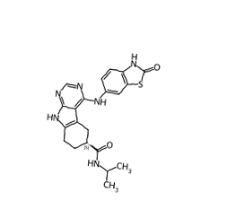 CC(C)NC(=O)[C@H]1CCc2[nH]c3ncnc(Nc4ccc5[nH]c(=O)sc5c4)c3c2C1